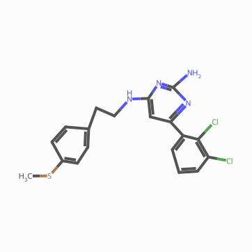 CSc1ccc(CCNc2cc(-c3cccc(Cl)c3Cl)nc(N)n2)cc1